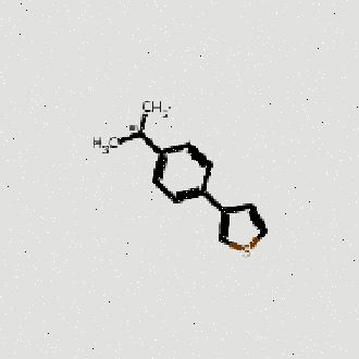 [CH2][C@H](C)c1ccc(-c2ccsc2)cc1